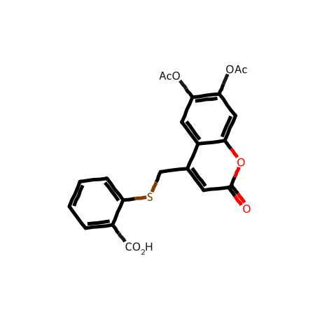 CC(=O)Oc1cc2oc(=O)cc(CSc3ccccc3C(=O)O)c2cc1OC(C)=O